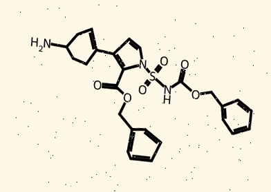 NC1CC=C(c2ccn(S(=O)(=O)NC(=O)OCc3ccccc3)c2C(=O)OCc2ccccc2)CC1